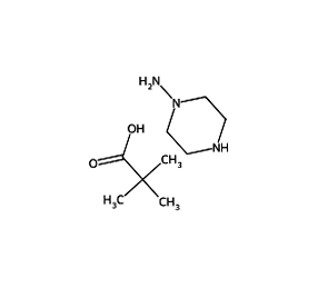 CC(C)(C)C(=O)O.NN1CCNCC1